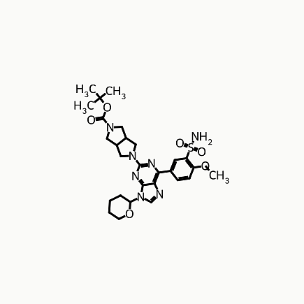 COc1ccc(-c2nc(N3CC4CN(C(=O)OC(C)(C)C)CC4C3)nc3c2ncn3C2CCCCO2)cc1S(N)(=O)=O